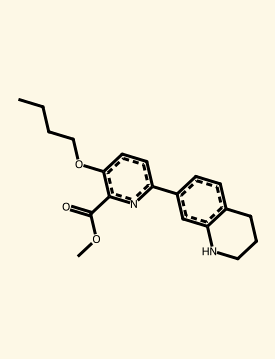 CCCCOc1ccc(-c2ccc3c(c2)NCCC3)nc1C(=O)OC